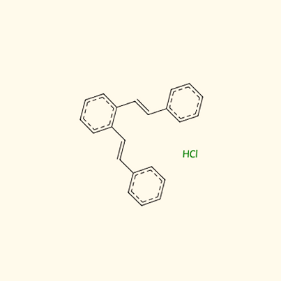 C(=C\c1ccccc1/C=C/c1ccccc1)/c1ccccc1.Cl